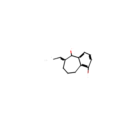 O=C(O)/C=C1\CCCc2c(Br)cccc2C1O